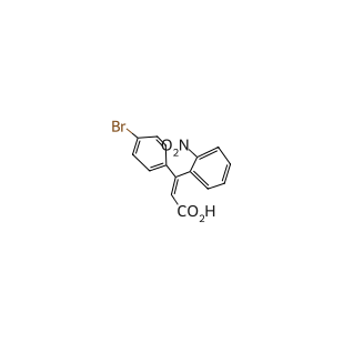 O=C(O)C=C(c1ccc(Br)cc1)c1ccccc1[N+](=O)[O-]